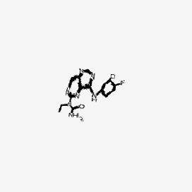 CCN(C(N)=O)c1ncc2ncnc(Nc3ccc(F)c(Cl)c3)c2n1